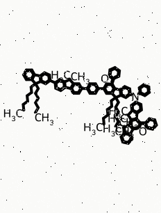 CCCCCCCC1(CCCCCCC)c2ccccc2-c2ccc(-c3ccc4c(c3)C(C)(C)c3cc(-c5ccc(-c6cc7c(c8c6oc6ccccc68)-c6ccc(N(c8ccccc8)c8ccc9c(c8)C(C)(C)c8c%10c(c%11oc%12ccccc%12c%11c8-9)-c8ccccc8C%10(C)C)cc6C7(CCCCCCC)CCCCCCC)cc5)ccc3-4)cc21